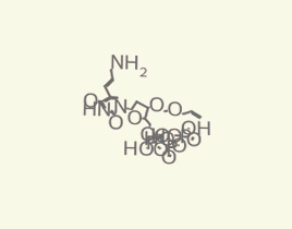 C=CCOCO[C@@H]1C[C@H](n2cc(/C=C/CN)c(=O)[nH]c2=O)OC1COP(=O)(O)OP(=O)(O)OP(=O)(O)O